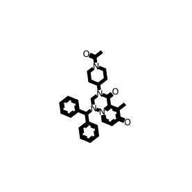 CC(=O)N1CCC(N2CN(C(c3ccccc3)c3ccccc3)n3ccc(=O)c(C)c3C2=O)CC1